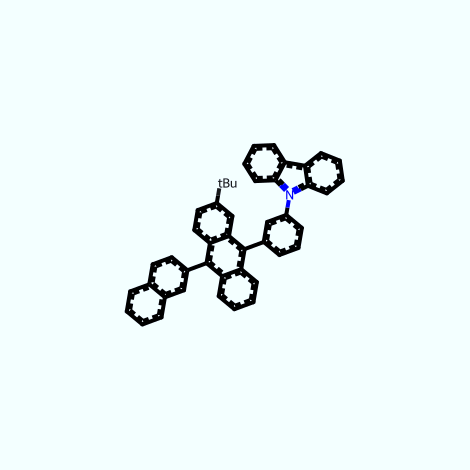 CC(C)(C)c1ccc2c(-c3ccc4ccccc4c3)c3ccccc3c(-c3cccc(-n4c5ccccc5c5ccccc54)c3)c2c1